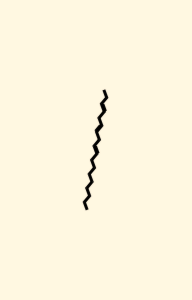 CCC=CCC=CCC=CCCCCCCCC